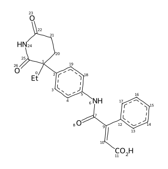 CCC1(c2ccc(NC(=O)/C(=C/C(=O)O)c3ccccc3)cc2)CCC(=O)NC1=O